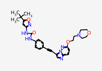 CC(C)(C)c1cc(NC(=O)Nc2ccc(C#Cc3cnc4ccc(OCCN5CCOCC5)nn34)cc2)no1